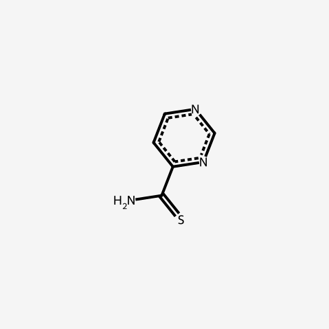 NC(=S)c1ccncn1